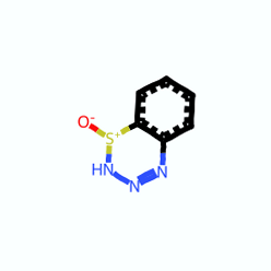 [O-][S+]1NN=Nc2ccccc21